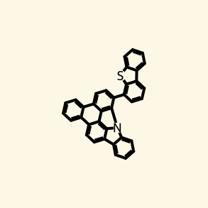 c1ccc2c(c1)sc1c(-c3ccc4c5ccccc5c5ccc6c7ccccc7n7c3c4c5c67)cccc12